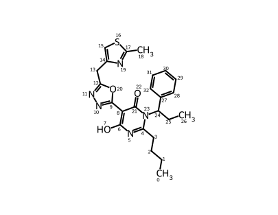 CCCCc1nc(O)c(-c2nnc(Cc3csc(C)n3)o2)c(=O)n1C(CC)c1ccccc1